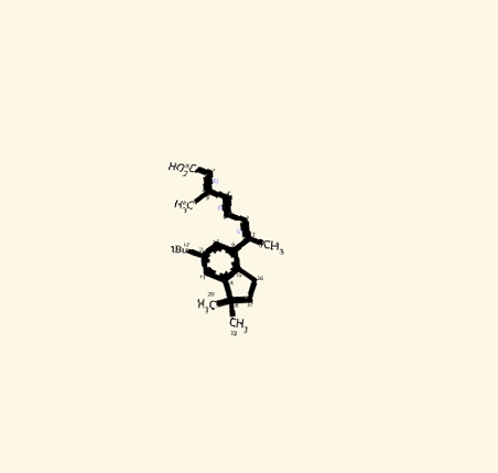 C/C(=C/C=C/C(C)=C/C(=O)O)c1cc(C(C)(C)C)cc2c1CCC2(C)C